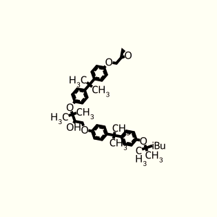 CCC(C)C(C)(C)Oc1ccc(C(C)(C)c2ccc(OCC(O)C(C)(C)Oc3ccc(C(C)(C)c4ccc(OCC5CO5)cc4)cc3)cc2)cc1